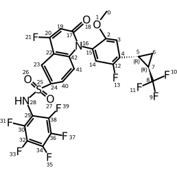 COc1cc([C@@H]2C[C@H]2C(F)(F)F)c(F)cc1-n1c(=O)cc(F)c2cc(S(=O)(=O)Nc3c(F)c(F)c(F)c(F)c3F)ccc21